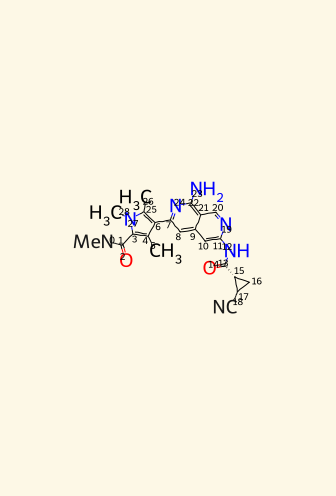 CNC(=O)c1c(C)c(-c2cc3cc(NC(=O)[C@@H]4CC4C#N)ncc3c(N)n2)c(C)n1C